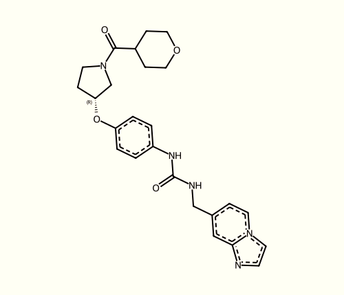 O=C(NCc1ccn2ccnc2c1)Nc1ccc(O[C@@H]2CCN(C(=O)C3CCOCC3)C2)cc1